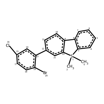 CS1(C)c2ccccc2-c2ccc(-c3cc(Cl)ccc3Br)cc21